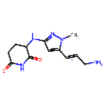 Cn1nc(NC2CCC(=O)NC2=O)cc1/C=C/CN